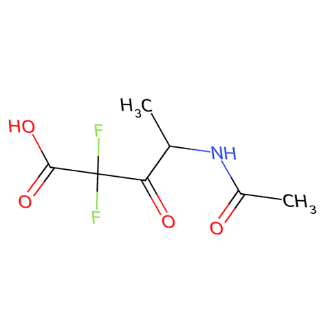 CC(=O)NC(C)C(=O)C(F)(F)C(=O)O